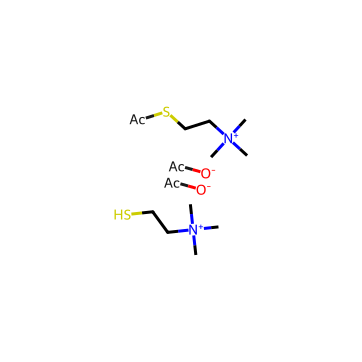 CC(=O)SCC[N+](C)(C)C.CC(=O)[O-].CC(=O)[O-].C[N+](C)(C)CCS